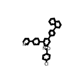 Clc1ccc(-c2nc3c(-c4ccc(-c5cccnc5)cc4)cc(-c4ccc(-c5cccc6ccccc56)cc4)cc3o2)cc1